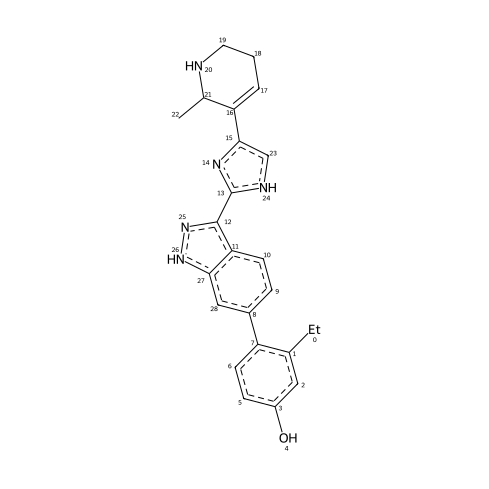 CCc1cc(O)ccc1-c1ccc2c(-c3nc(C4=CCCNC4C)c[nH]3)n[nH]c2c1